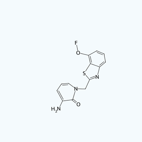 Nc1cccn(Cc2nc3cccc(OF)c3s2)c1=O